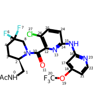 CC(=O)NC[C@H]1CCC(F)(F)CN1C(=O)c1nc(Nc2cc(OC(F)(F)F)ccn2)ccc1Cl